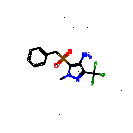 Cn1nc(C(F)(F)F)c(N)c1S(=O)(=O)Cc1ccccc1